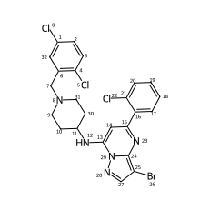 Clc1ccc(Cl)c(CN2CCC(Nc3cc(-c4ccccc4Cl)nc4c(Br)cnn34)CC2)c1